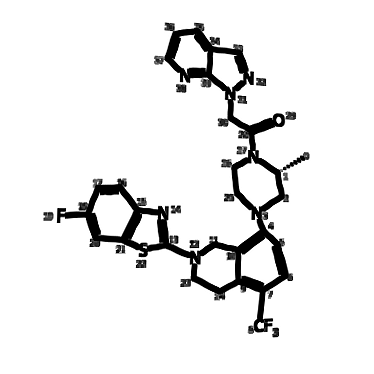 C[C@@H]1CN(c2ccc(C(F)(F)F)c3c2CN(c2nc4ccc(F)cc4s2)CC3)CCN1C(=O)Cn1ncc2cccnc21